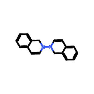 C1=CN(N2C=Cc3ccccc3C2)Cc2ccccc21